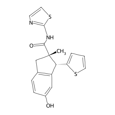 C[C@]1(C(=O)Nc2nccs2)Cc2ccc(O)cc2[C@H]1c1cccs1